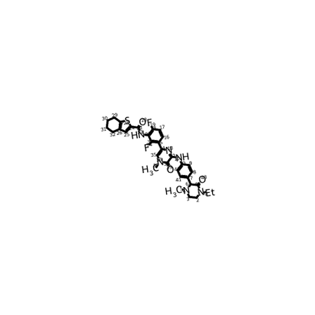 CCN1CCN(C)C(c2ccc(Nc3nc(-c4ccc(F)c(NC(=O)c5cc6c(s5)CCCC6)c4F)cn(C)c3=O)cc2)C1=O